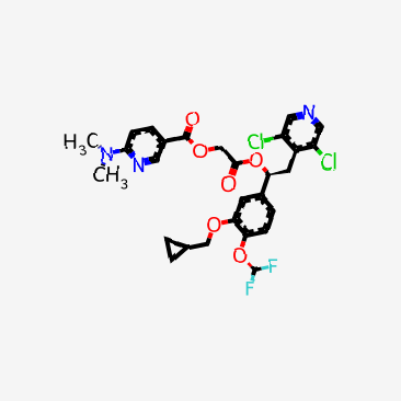 CN(C)c1ccc(C(=O)OCC(=O)O[C@@H](Cc2c(Cl)cncc2Cl)c2ccc(OC(F)F)c(OCC3CC3)c2)cn1